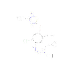 Cc1cc(/N=C\N(C)CC2CC2)c(Cl)cc1Oc1nc(C(C)(C)C)ns1